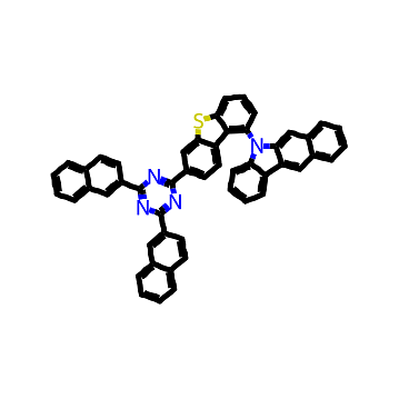 c1ccc2cc(-c3nc(-c4ccc5ccccc5c4)nc(-c4ccc5c(c4)sc4cccc(-n6c7ccccc7c7cc8ccccc8cc76)c45)n3)ccc2c1